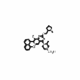 CC1CN(C(=O)O)CCN1c1nc(OCC2CCCN2C)nc2c(F)c(-c3cccc4cccc(Cl)c34)ncc12